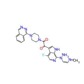 C=N/C=C\N(N)c1ncc(F)c2c(C(=O)C(=O)N3CCN(c4nncc5ccccc45)CC3)c[nH]c12